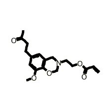 C=CC(=O)OCCN1COc2c(cc(CCC(C)=O)cc2OC)C1